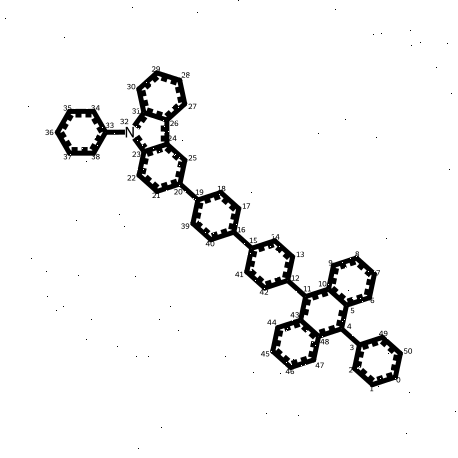 c1ccc(-c2c3ccccc3c(-c3ccc(-c4ccc(-c5ccc6c(c5)c5ccccc5n6-c5ccccc5)cc4)cc3)c3ccccc23)cc1